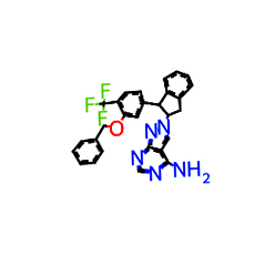 Nc1ncnc2nn(C3Cc4ccccc4C3c3ccc(C(F)(F)F)c(OCc4ccccc4)c3)cc12